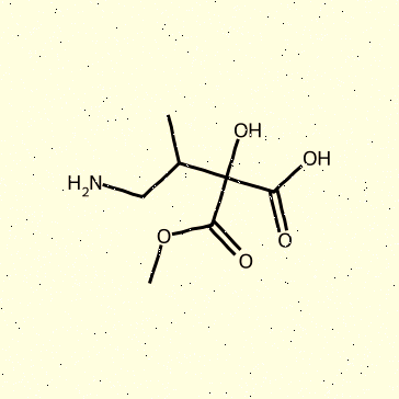 COC(=O)C(O)(C(=O)O)C(C)CN